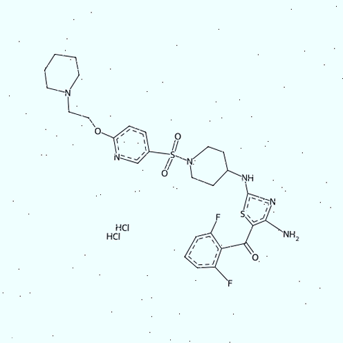 Cl.Cl.Nc1nc(NC2CCN(S(=O)(=O)c3ccc(OCCN4CCCCC4)nc3)CC2)sc1C(=O)c1c(F)cccc1F